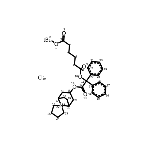 CC(C)(C)OC(=O)CCCCC(=O)OC(C(=O)OC1CC2CCC(C1)[N+]21CCCC1)(c1ccccc1)c1ccccc1.[Cl-]